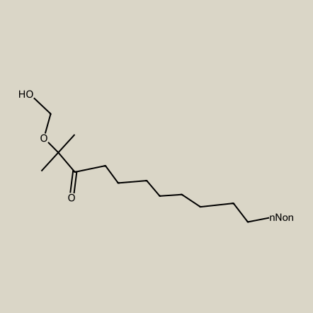 CCCCCCCCCCCCCCCCCC(=O)C(C)(C)OCO